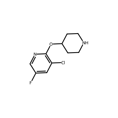 Fc1cnc(OC2CCNCC2)c(Cl)c1